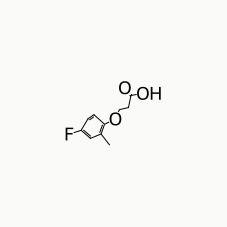 Cc1cc(F)ccc1OCCC(=O)O